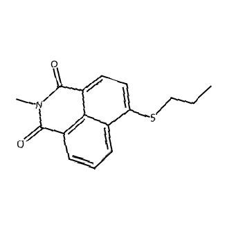 CCCSc1ccc2c3c(cccc13)C(=O)N(C)C2=O